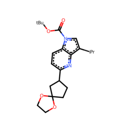 CC(C)c1cn(C(=O)OC(C)(C)C)c2ccc(C3CCC4(C3)OCCO4)nc12